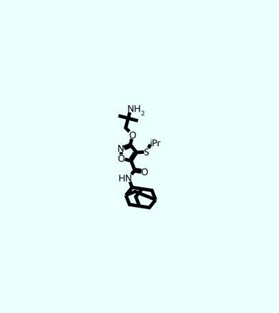 CC(C)Sc1c(OCC(C)(C)N)noc1C(=O)NC1C2CC3CC(C2)CC1C3